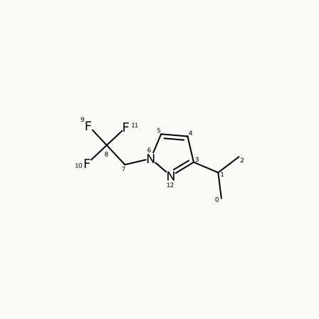 CC(C)c1ccn(CC(F)(F)F)n1